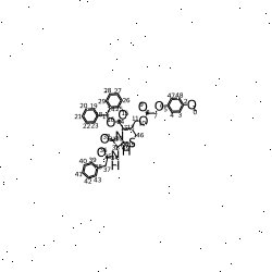 COc1ccc(OCC(=O)OCC2=C(C(=O)OC(c3ccccc3)c3ccccc3)N3C(=O)C(NC(=O)Cc4ccccc4)[C@@H]3SC2)cc1